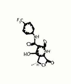 C[C@H]1OC(=O)c2[nH]c(=O)c(C(=O)Nc3ccc(C(F)(F)F)cc3)c(O)c21